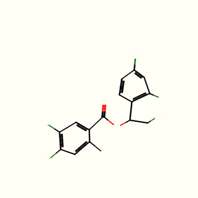 O=C(O)c1cc(Cl)c(Cl)cc1C(=O)OC(CCl)c1ccc(Cl)cc1Cl